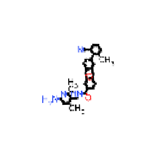 Cc1cc(N)nc(C)c1CNC(=O)c1ccc2c(c1)c1oc2c2cc(-c3c(C)cccc3C#N)ccc21